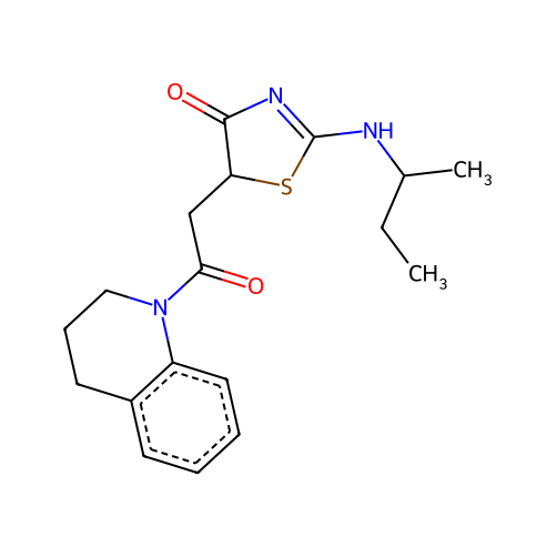 CCC(C)NC1=NC(=O)C(CC(=O)N2CCCc3ccccc32)S1